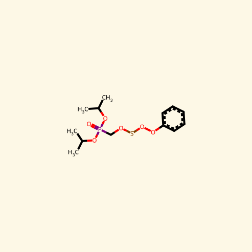 CC(C)OP(=O)(COSOOc1ccccc1)OC(C)C